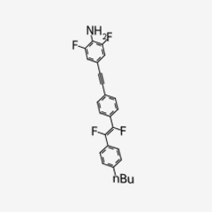 CCCCc1ccc(C(F)=C(F)c2ccc(C#Cc3cc(F)c(N)c(F)c3)cc2)cc1